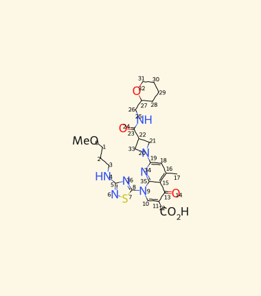 COCCCNc1nsc(-n2cc(C(=O)O)c(=O)c3c(C)cc(N4CC(C(=O)NCC5CCCCO5)C4)nc32)n1